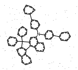 c1ccc(-c2ccc(N(c3ccc(-c4ccccc4)cc3)c3cc4c(c5ccccc35)-c3c(ccc5ccccc35)C4(c3ccccc3)c3ccccc3)cc2)cc1